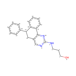 OCCCNc1ncc2c(n1)-c1ccccc1C(c1ccccc1)C2